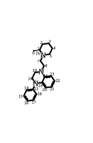 C[C@H]1CCCCN1CCN1CCN(c2ccccc2)c2ccccc21